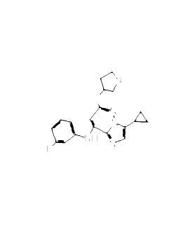 Fc1cccc(Nc2cc(OC3CCNC3)nn3c(C4CC4)cnc23)c1